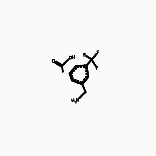 CC(=O)O.NCc1cccc(C(F)(F)F)c1